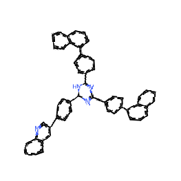 c1ccc2ncc(-c3ccc(C4N=C(c5ccc(-c6cccc7ccccc67)cc5)N=C(c5ccc(-c6cccc7ccccc67)cc5)N4)cc3)cc2c1